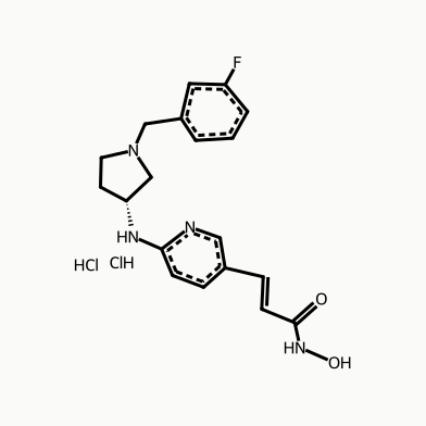 Cl.Cl.O=C(/C=C/c1ccc(N[C@@H]2CCN(Cc3cccc(F)c3)C2)nc1)NO